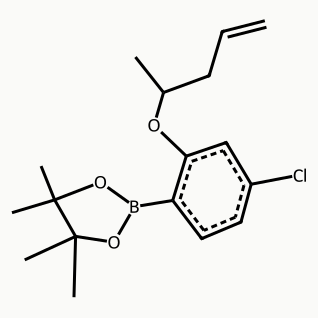 C=CCC(C)Oc1cc(Cl)ccc1B1OC(C)(C)C(C)(C)O1